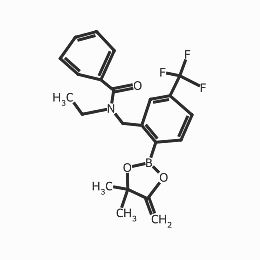 C=C1OB(c2ccc(C(F)(F)F)cc2CN(CC)C(=O)c2ccccc2)OC1(C)C